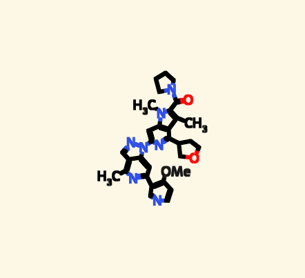 COc1ccncc1-c1cc2c(cnn2-c2cc3c(c(C4CCOC4)n2)c(C)c(C(=O)N2CCCC2)n3C)c(C)n1